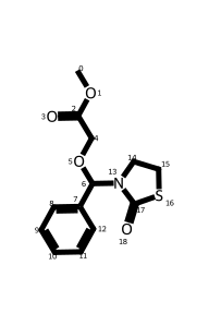 COC(=O)COC(c1ccccc1)N1CCSC1=O